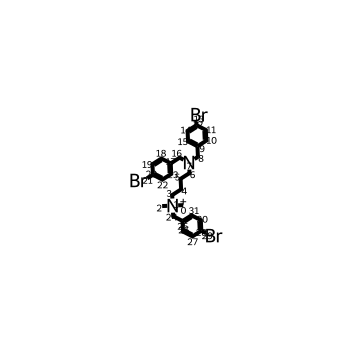 C[N+](C)(CCCCN(Cc1ccc(Br)cc1)Cc1ccc(Br)cc1)Cc1ccc(Br)cc1